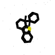 C[C@]1([C@]2(C)C=CCCC2)CCCc2c1sc1c2C=CCC1